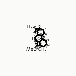 C=C1C[C@@]23CC[C@@H]4[C@](C)(COC)CCC[C@@]4(C)[C@@H]2CC[C@@H]1C3